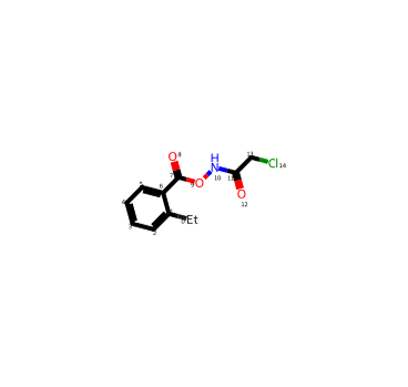 CCc1ccccc1C(=O)ONC(=O)CCl